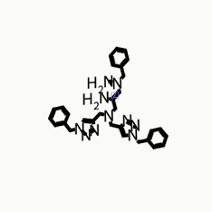 N/C(=C\N(N)Cc1ccccc1)CN(Cc1cn(Cc2ccccc2)nn1)Cc1cn(Cc2ccccc2)nn1